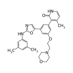 Cc1cc(C)cc(Nc2ncc(-c3cc(OCCN4CCOCC4)cc(-c4c(C)cc[nH]c4=O)c3)o2)c1